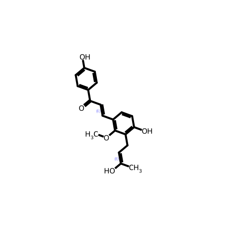 COc1c(/C=C/C(=O)c2ccc(O)cc2)ccc(O)c1C/C=C(\C)O